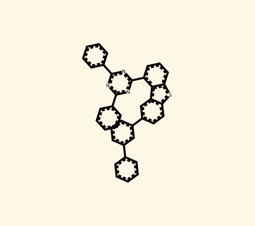 c1ccc(-c2cccc(-c3ccc4sc5cccc(-c6nc(-c7ccccc7)nc(-c7ccccc7)n6)c5c4c3)c2)cc1